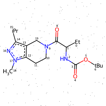 CCC(NC(=O)OC(C)(C)C)C(=O)N1CCc2c(c(C(C)C)nn2C)C1